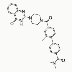 Cc1cc(C(=O)N2CCN(c3nc4ccccc4c(=O)[nH]3)CC2)ccc1-c1ccc(C(=O)N(C)C)cc1